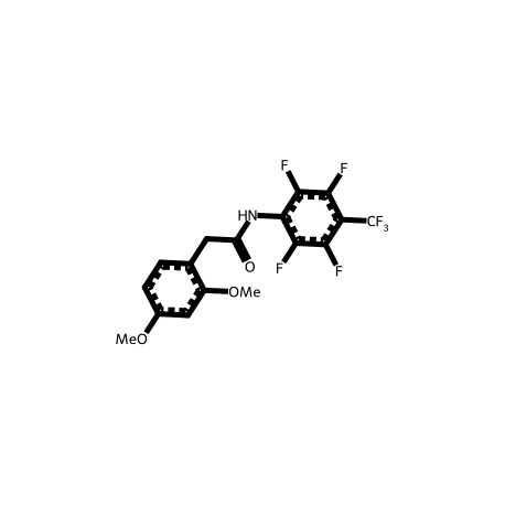 COc1ccc(CC(=O)Nc2c(F)c(F)c(C(F)(F)F)c(F)c2F)c(OC)c1